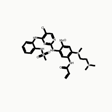 C=CC(=O)Nc1cc(Nc2ncc(Cl)c(Nc3ccccc3NS(C)(=O)=O)n2)c(OC)cc1N(C)CCN(C)C